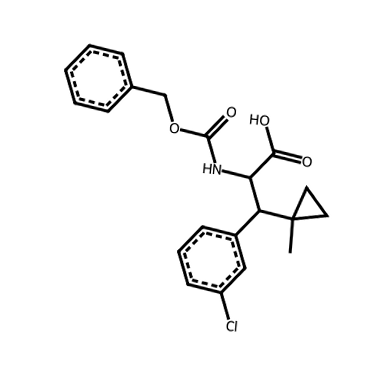 CC1(C(c2cccc(Cl)c2)C(NC(=O)OCc2ccccc2)C(=O)O)CC1